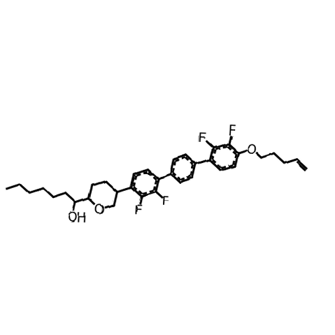 C=CCCCOc1ccc(-c2ccc(-c3ccc(C4CCC(C(O)CCCCCC)OC4)c(F)c3F)cc2)c(F)c1F